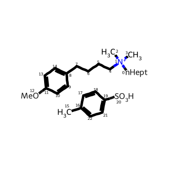 CCCCCCC[N+](C)(C)CCCCc1ccc(OC)cc1.Cc1ccc(S(=O)(=O)O)cc1